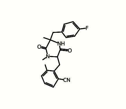 Cc1cccc(C#N)c1CC1C(=O)NC(C)(Cc2ccc(F)cc2)C(=O)N1C